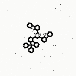 c1ccc(C2(c3ccccc3)c3ccccc3-c3c(-c4cc(-c5cccc6c5oc5ccccc56)nc(-c5cccc6c5sc5ccccc56)n4)cccc32)cc1